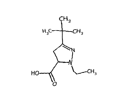 CCN1N=C(C(C)(C)C)CC1C(=O)O